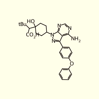 CC(C)(C)C(C(=O)O)C1(O)CCC(n2nc(-c3ccc(Oc4ccccc4)cc3)c3c(N)ncnc32)CC1